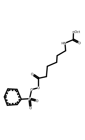 CCCCCCCCC(=O)NCCCCCC(=O)OOS(=O)(=O)c1ccccc1